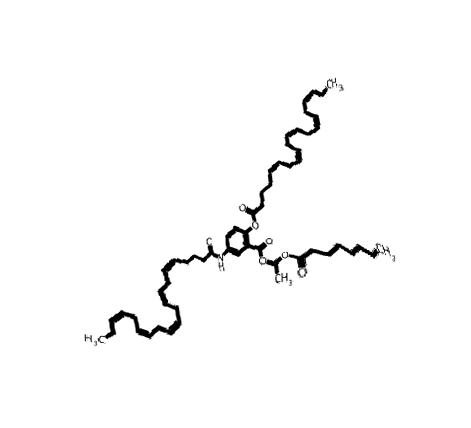 CC/C=C\C/C=C\C/C=C\C/C=C\C/C=C\CCCC(=O)Nc1ccc(OC(=O)CCC/C=C\C/C=C\C/C=C\C/C=C\C/C=C\CC)c(C(=O)OC(C)OC(=O)CCCCCCC)c1